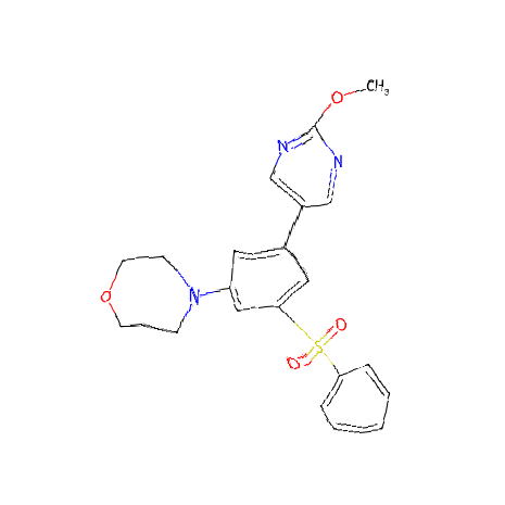 COc1ncc(-c2cc(N3CCOCC3)cc(S(=O)(=O)c3ccccc3)c2)cn1